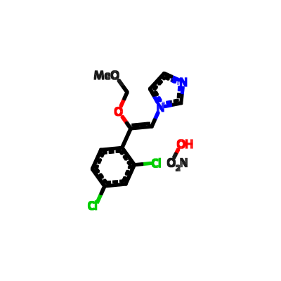 COCOC(=Cn1ccnc1)c1ccc(Cl)cc1Cl.O=[N+]([O-])O